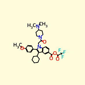 COc1ccc(-c2c(C3CCCCC3)c3cc(C(=O)OC(=O)C(F)(F)F)ccc3n2CC(=O)N2CCC(N(C)C)CC2)cc1